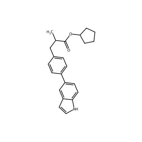 CC(Cc1ccc(-c2ccc3[nH]ccc3c2)cc1)C(=O)OC1CCCC1